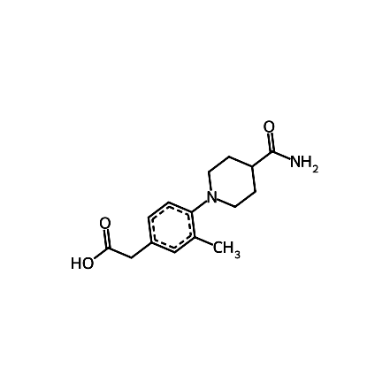 Cc1cc(CC(=O)O)ccc1N1CCC(C(N)=O)CC1